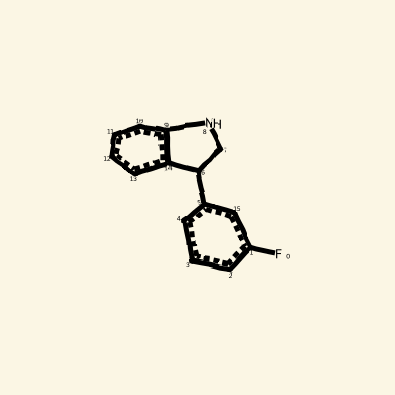 Fc1cccc(C2CNc3ccccc32)c1